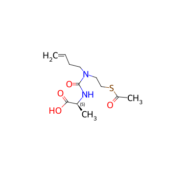 C=CCCN(CCSC(C)=O)C(=O)N[C@@H](C)C(=O)O